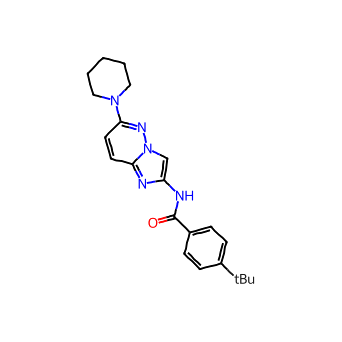 CC(C)(C)c1ccc(C(=O)Nc2cn3nc(N4CCCCC4)ccc3n2)cc1